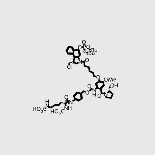 COc1cc(C(=O)N2CCC[C@H]2CO)c(NC(=O)OCc2ccc(NC(=O)[C@H](CCCCNC(=O)O)NC(=O)O)cc2)cc1OCCCCCC(=O)N1C[C@@H](CCl)c2c1cc(OP(=O)(OC(C)(C)C)OC(C)(C)C)c1ccccc21